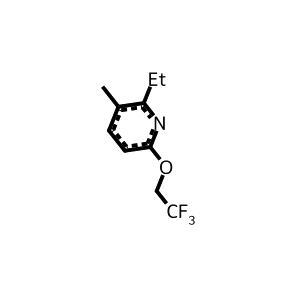 CCc1nc(OCC(F)(F)F)ccc1C